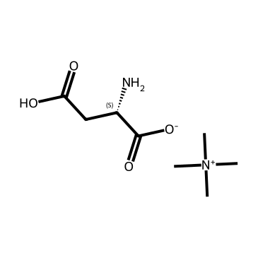 C[N+](C)(C)C.N[C@@H](CC(=O)O)C(=O)[O-]